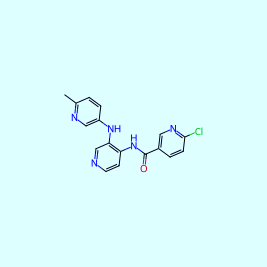 Cc1ccc(Nc2cnccc2NC(=O)c2ccc(Cl)nc2)cn1